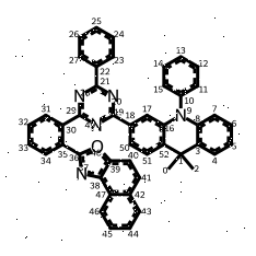 CC1(C)c2ccccc2N(c2ccccc2)c2cc(-c3nc(-c4ccccc4)nc(-c4ccccc4-c4nc5c(ccc6ccccc65)o4)n3)ccc21